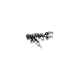 CCCCOCN(C(=O)[C@@H](NC(=O)[C@H]1CCCCN1C)[C@@H](C)CC)[C@H](C[C@@H](O)c1nc(C(=O)N[C@H](CCC(=O)O)Cc2ccc(O)cc2)cs1)C(C)C